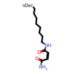 CCCCCCCCCCCCCCCCCCNC(=O)/C=C\C(N)=O